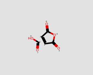 O=C1C=CC(=O)O1.O=CO